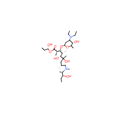 CC[C@H](O)OC(=O)[C@H](C)[C@@H](O[C@H]1CC(N(CC)CC)[C@H](O)C(C)O1)[C@H](C)[C@@H](O)C(C)(O)C[C@@H](C)CN(C)[C@H](C)[C@@H](O)CC